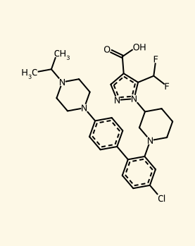 CC(C)N1CCN(c2ccc(-c3ccc(Cl)cc3N3CCCC(n4ncc(C(=O)O)c4C(F)F)C3)cc2)CC1